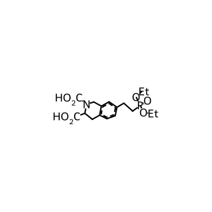 CCOP(=O)(CCc1ccc2c(c1)CN(C(=O)O)C(C(=O)O)C2)OCC